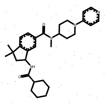 CN(C(=O)c1ccc2c(c1)C(NC(=O)C1CCCCC1)CC2(C)C)C1CCN(c2ccncc2)CC1